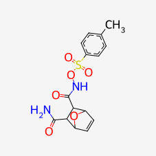 Cc1ccc(S(=O)(=O)ONC(=O)C2C3C=CC(O3)C2C(N)=O)cc1